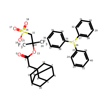 O=C(CC12CC3CC(CC(C3)C1)C2)OC(CS(=O)(=O)[O-])(C(F)(F)F)C(F)(F)F.c1ccc([S+](c2ccccc2)c2ccccc2)cc1